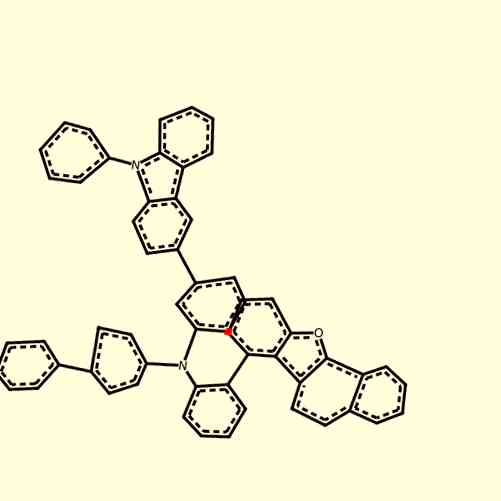 c1ccc(-c2ccc(N(c3cccc(-c4ccc5c(c4)c4ccccc4n5-c4ccccc4)c3)c3ccccc3-c3cccc4oc5c6ccccc6ccc5c34)cc2)cc1